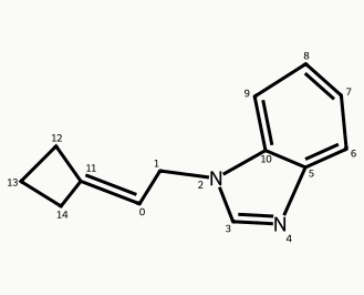 C(Cn1cnc2ccccc21)=C1CCC1